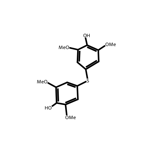 COc1cc(Sc2cc(OC)c(O)c(OC)c2)cc(OC)c1O